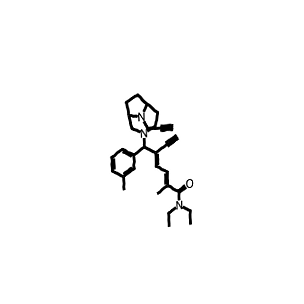 C#CCN1C2CCC1CN(C(/C(C#C)=C/C=C(\C)C(=O)N(CC)CC)c1cccc(C)c1)CC2